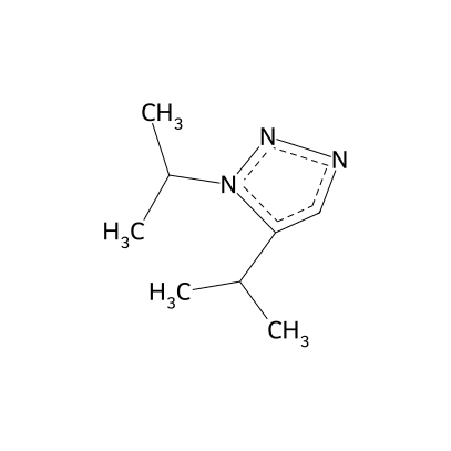 CC(C)c1cnnn1C(C)C